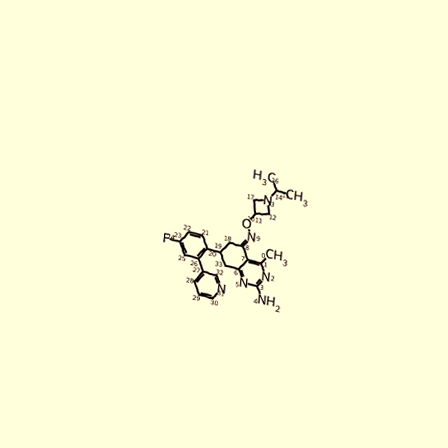 Cc1nc(N)nc2c1/C(=N/OC1CN(C(C)C)C1)CC(c1ccc(F)cc1-c1cccnc1)C2